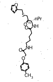 CCC[C@H](NC(=O)CCCCNC(=O)COc1ccc(C)cc1)C(=O)CSCc1ccco1